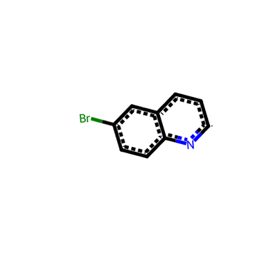 Brc1ccc2n[c]ccc2c1